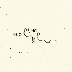 CN(C)CCNC(=O)CCCC=O.Cl